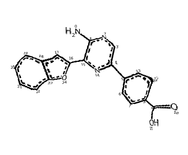 Nc1ncc(-c2ccc(C(=O)O)cc2)nc1-c1cc2ccccc2o1